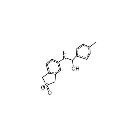 Cc1ccc(C(O)Nc2ccc3c(c2)CS(=O)(=O)C3)cc1